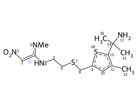 CN/C(=C\[N+](=O)[O-])NCCSCc1cc(C)c(C(C)(C)N)s1